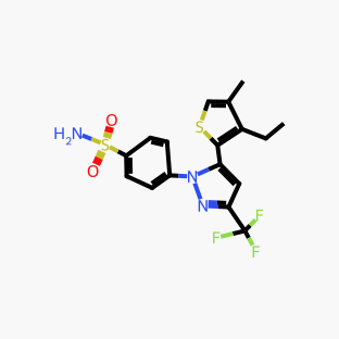 CCc1c(C)csc1-c1cc(C(F)(F)F)nn1-c1ccc(S(N)(=O)=O)cc1